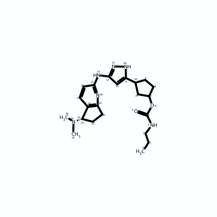 CCCNC(=O)OC1CCC(c2cc(Nc3ccc4c(n3)CC[C@@H]4N(C)C)n[nH]2)C1